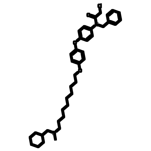 CN(CCCCCCCCCCOc1ccc(Oc2ccc(N(Cc3ccccc3)C(=O)CCl)cc2)cc1)CC1CCCCC1